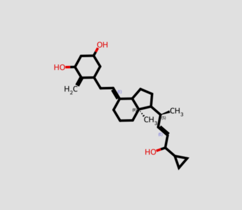 C=C1C(O)CC(O)CC1C/C=C1\CCC[C@@]2(C)C1CCC2[C@@H](C)/C=C/C(O)C1CC1